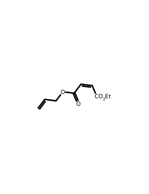 C=CCOC(=O)/C=C\C(=O)OCC